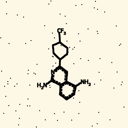 Nc1cccc2c(N)nc(C3CCC(C(F)(F)F)CC3)cc12